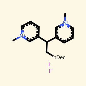 CCCCCCCCCCCC(c1ccc[n+](C)c1)c1ccc[n+](C)c1.[I-].[I-]